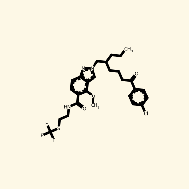 CCCC(CCCC(=O)c1ccc(Cl)cc1)Cn1cc2c(OC)c(C(=O)NCCSC(F)(F)F)ccc2n1